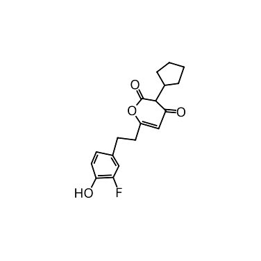 O=C1C=C(CCc2ccc(O)c(F)c2)OC(=O)C1C1CCCC1